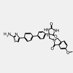 COc1ccc2c(c1)C(=O)N(C[C@@]1(c3ccc(-c4ccc(-c5csc(N)n5)cc4)cc3)NC(=O)NC1=O)C2